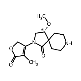 CO[C@H]1CN(C2=C(C)C(=O)OC2)C(=O)C12CCNCC2